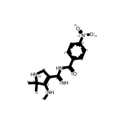 CNC1=C(C(=N)NC(=O)c2ccc([N+](=O)[O-])cc2)CNC1(C)C